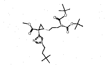 COC(=O)[C@]1(c2cn(CCC(C)(C)C)cn2)C[C@@H]1CCCN(C(=O)OC(C)(C)C)C(=O)OC(C)(C)C